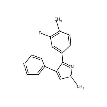 Cc1ccc(-c2nn(C)cc2-c2ccncc2)cc1F